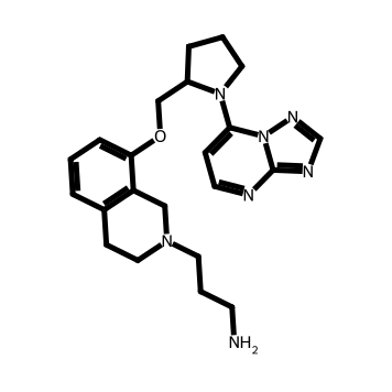 NCCCN1CCc2cccc(OCC3CCCN3c3ccnc4ncnn34)c2C1